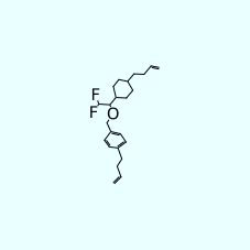 C=CCCc1ccc(COC(C(F)F)C2CCC(CCC=C)CC2)cc1